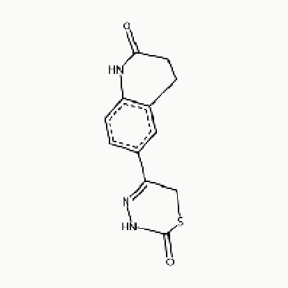 O=C1CCc2cc(C3=NNC(=O)SC3)ccc2N1